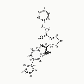 O=C(OCc1ccccc1)N1CCC[C@H]1c1nc2ccc(-c3ccsc3)cc2[nH]1